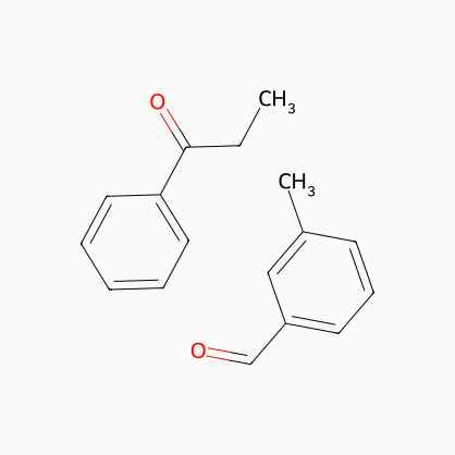 CCC(=O)c1ccccc1.Cc1cccc(C=O)c1